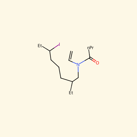 C=CN(CC(CC)CCCC(I)CC)C(=O)CCC